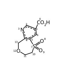 O=C(O)c1cnc2c(c1)S(=O)(=O)CCOC2